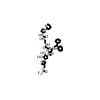 O=C(NCCNC(=O)c1nc(NCC(c2ccccc2)c2ccccc2)c2ncn([C@@H]3C[C@H](n4cc(COC(=O)C(F)(F)F)cn4)[C@@H](O)[C@H]3O)c2n1)N[C@H]1CCN(c2ccccn2)C1